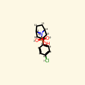 O=S(=O)(c1ccc(Cl)cc1)N1C2CCC1CC(O)C2